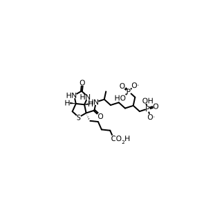 CC(CCCC(CP([O])(=O)O)CP([O])(=O)O)NC(=O)[C@@]1(CCCCC(=O)O)SC[C@@H]2NC(=O)N[C@@H]21